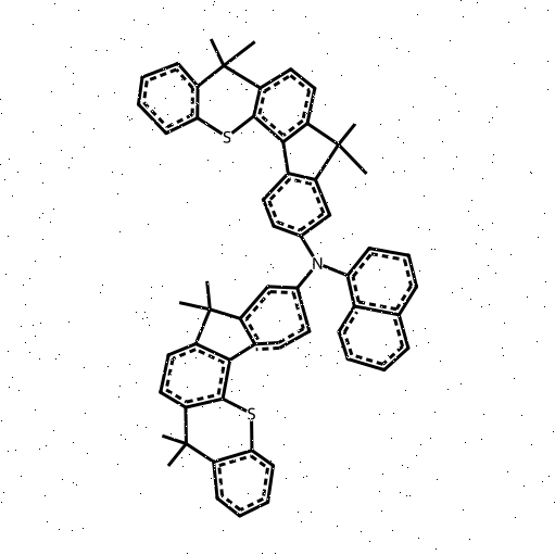 CC1(C)c2ccccc2Sc2c1ccc1c2-c2ccc(N(c3ccc4c(c3)C(C)(C)c3ccc5c(c3-4)Sc3ccccc3C5(C)C)c3cccc4ccccc34)cc2C1(C)C